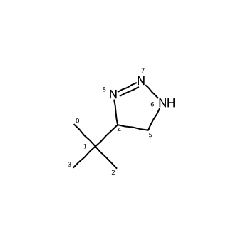 CC(C)(C)C1CNN=N1